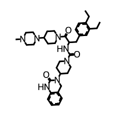 CCc1ccc(CC(NC(=O)N2CCC(N3Cc4ccccc4NC3=O)CC2)C(=O)N2CCC(N3CCN(C)CC3)CC2)cc1CC